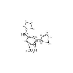 O=C(O)c1cc(NC2CCCC2)nc(-c2ccccc2)n1